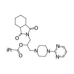 CC(C)C(=O)OC(CN1CCN(c2ncccn2)CC1)CN1C(=O)C2CCCCC2C1=O